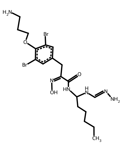 CCCCCC(NC=NN)NC(=O)C(Cc1cc(Br)c(OCCCN)c(Br)c1)=NO